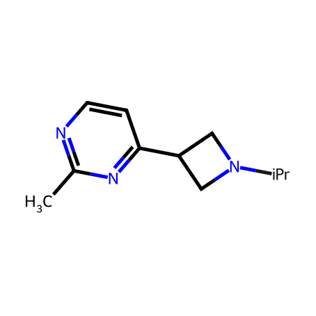 Cc1nccc(C2CN(C(C)C)C2)n1